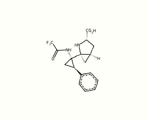 O=C(O)[C@@H]1C[C@H]2C[C@]2([C@]2(NC(=O)C(F)(F)F)C[C@@H]2c2ccccc2)N1